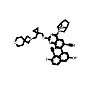 C#Cc1c(F)ccc2cc(O)cc(-c3c(C#N)cc4c(N5CC6CCC(C5)N6)nc(OCC5(CN6CC7(CCOCC7)C6)CC5)nc4c3F)c12